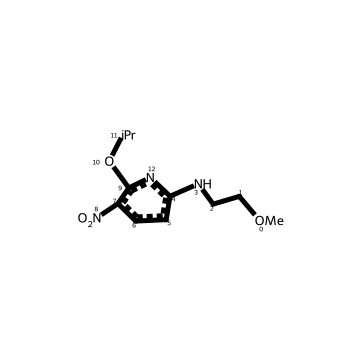 COCCNc1ccc([N+](=O)[O-])c(OC(C)C)n1